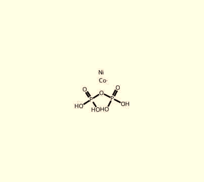 O=P(O)(O)OP(=O)(O)O.[Co].[Ni]